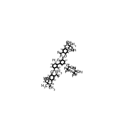 Cc1c(COc2ccc(CN(C)C(C)(CO)CO)cc2C(F)F)cccc1-c1cccc(COc2ccc(CN(C)C(C)(CO)CO)cc2C(F)F)c1C.O=C(O)C(F)(F)F.O=C(O)C(F)(F)F